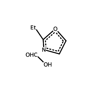 CCc1ncco1.O=CO